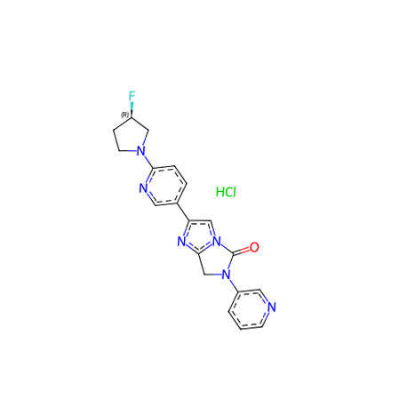 Cl.O=C1N(c2cccnc2)Cc2nc(-c3ccc(N4CC[C@@H](F)C4)nc3)cn21